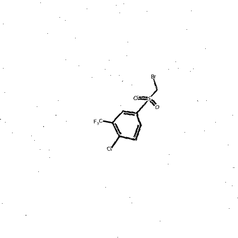 O=S(=O)(CBr)c1ccc(Cl)c(C(F)(F)F)c1